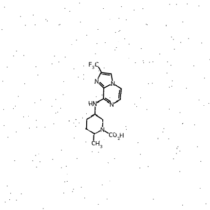 CC1CCC(Nc2nccn3cc(C(F)(F)F)nc23)CN1C(=O)O